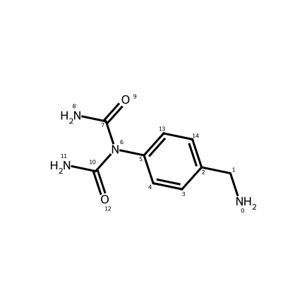 NCc1ccc(N(C(N)=O)C(N)=O)cc1